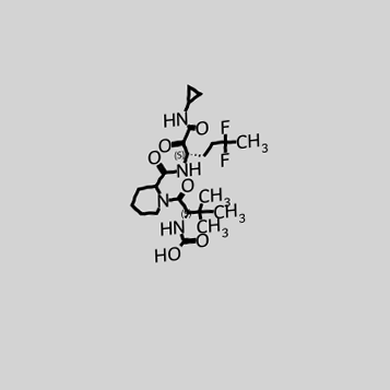 CC(F)(F)CC[C@H](NC(=O)C1CCCCN1C(=O)[C@@H](NC(=O)O)C(C)(C)C)C(=O)C(=O)NC1CC1